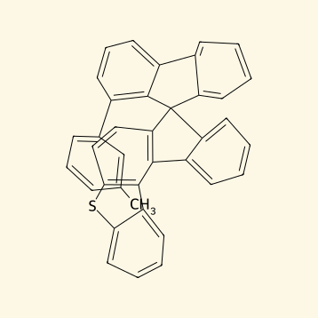 Cc1cccc(-c2cccc3c2C2(c4ccccc4-3)c3ccccc3-c3c2ccc2sc4ccccc4c32)c1